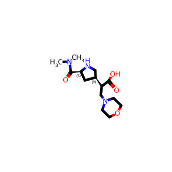 CN(C)C(=O)[C@@H]1C[C@H](C(CN2CCOCC2)C(=O)O)CN1